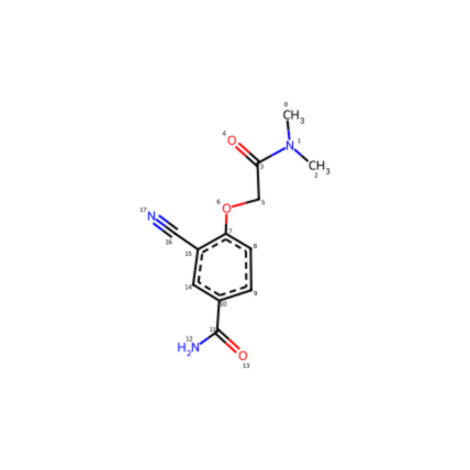 CN(C)C(=O)COc1ccc(C(N)=O)cc1C#N